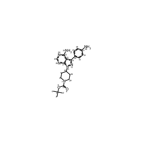 CC(C)(C)OC(=O)N1CCC(n2nc(-c3ccc(N)cc3)c3c(N)ncnc32)CC1